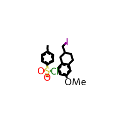 COc1ccc2c(c1)CCC(CI)C2.Cc1ccc(S(=O)(=O)Cl)cc1